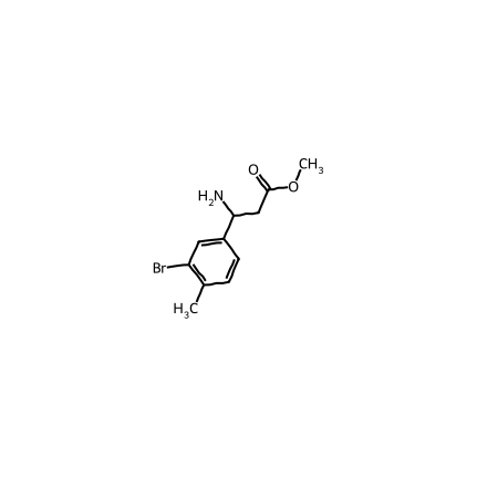 COC(=O)CC(N)c1ccc(C)c(Br)c1